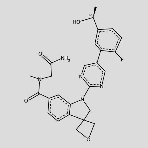 C[C@H](O)c1ccc(F)c(-c2cnc(N3CC4(COC4)c4ccc(C(=O)N(C)CC(N)=O)cc43)nc2)c1